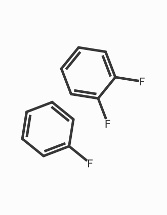 Fc1ccccc1.Fc1ccccc1F